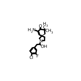 CC1(C)C[C@@]2(C=C(N)C1=O)CCN(C(O)Cc1ccc(Cl)c(F)c1)C2